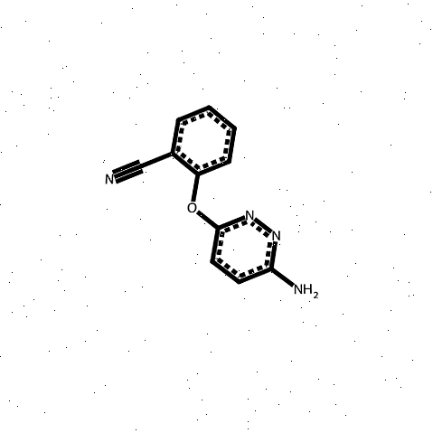 N#Cc1ccccc1Oc1ccc(N)nn1